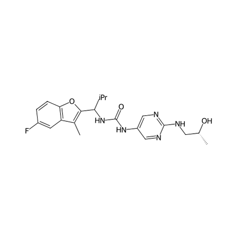 Cc1c(C(NC(=O)Nc2cnc(NC[C@@H](C)O)nc2)C(C)C)oc2ccc(F)cc12